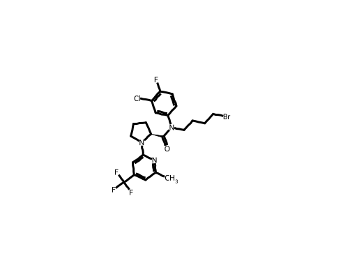 Cc1cc(C(F)(F)F)cc(N2CCC[C@H]2C(=O)N(CCCCBr)c2ccc(F)c(Cl)c2)n1